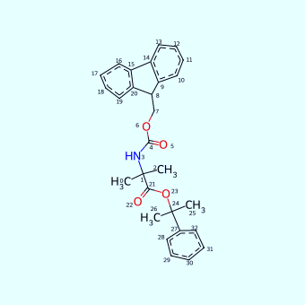 CC(C)(NC(=O)OCC1c2ccccc2-c2ccccc21)C(=O)OC(C)(C)c1ccccc1